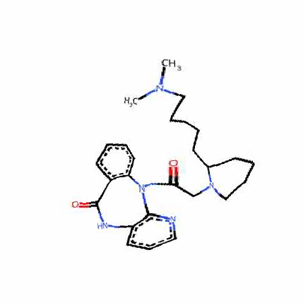 CN(C)CCCCC1CCCCN1CC(=O)N1c2ccccc2C(=O)Nc2cccnc21